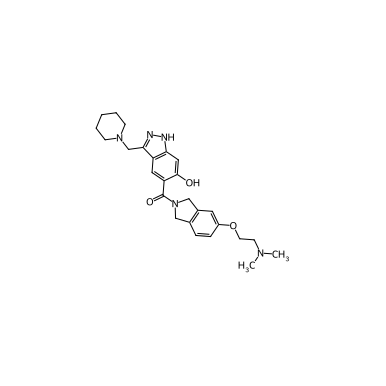 CN(C)CCOc1ccc2c(c1)CN(C(=O)c1cc3c(CN4CCCCC4)n[nH]c3cc1O)C2